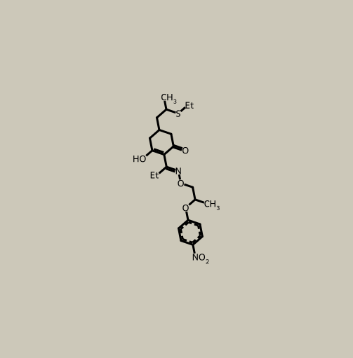 CCSC(C)CC1CC(=O)C(C(CC)=NOCC(C)Oc2ccc([N+](=O)[O-])cc2)=C(O)C1